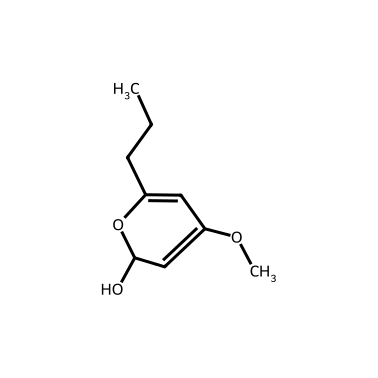 CCCC1=CC(OC)=CC(O)O1